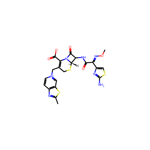 CON=C(C(=O)NC1C(=O)N2C(C(=O)[O-])=C(C[n+]3ccc4nc(C)sc4c3)CS[C@@H]12)c1csc(N)n1